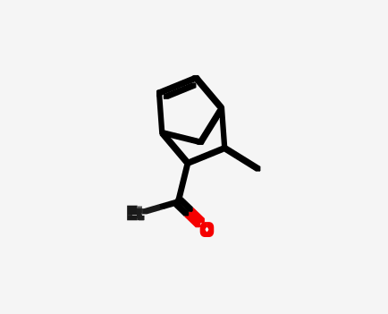 CCC(=O)C1C2C=CC(C2)C1C